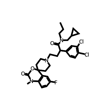 CCCN(CC1CC1)C(=O)C(CCN1CCC2(CC1)OC(=O)N(C)c1ccc(F)cc12)c1ccc(Cl)c(Cl)c1